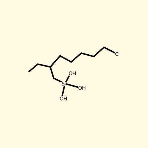 CCC(CCCCCCl)C[Si](O)(O)O